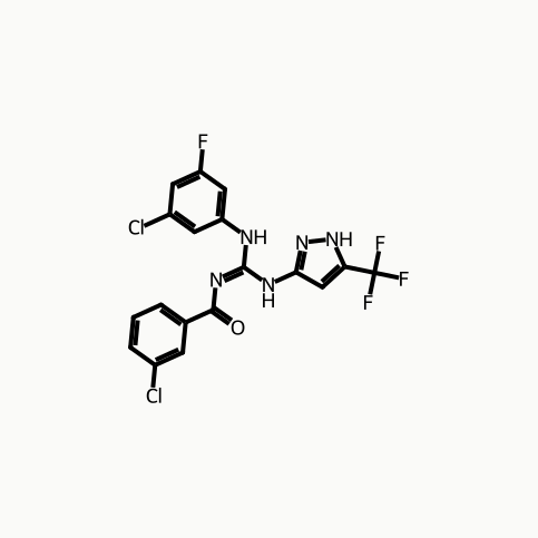 O=C(N=C(Nc1cc(F)cc(Cl)c1)Nc1cc(C(F)(F)F)[nH]n1)c1cccc(Cl)c1